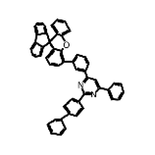 c1ccc(-c2ccc(-c3nc(-c4ccccc4)cc(-c4cccc(-c5cccc6c5Oc5ccccc5C65c6ccccc6-c6ccccc65)c4)n3)cc2)cc1